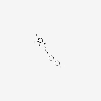 CCCC1CCC(C2CCC(CCCCCC(=O)c3ccc(OCC)c(F)c3C(F)F)CC2)CC1